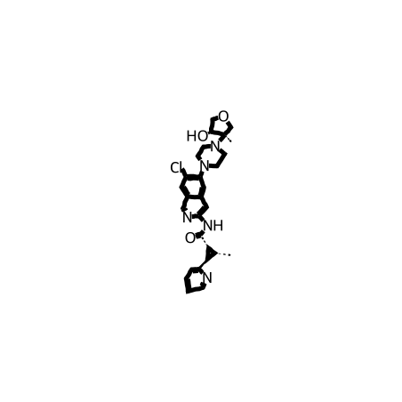 C[C@H]1[C@@H](C(=O)Nc2cc3cc(N4CCN([C@]5(C)COC[C@@H]5O)CC4)c(Cl)cc3cn2)[C@@H]1c1ccccn1